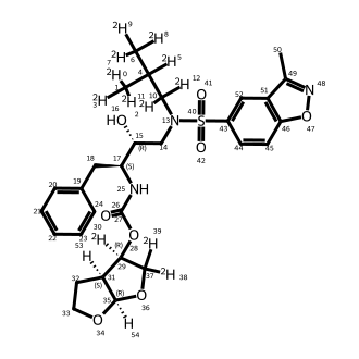 [2H]C([2H])([2H])C([2H])(C([2H])([2H])[2H])C([2H])([2H])N(C[C@@H](O)[C@H](Cc1ccccc1)NC(=O)O[C@]1([2H])[C@@H]2CCO[C@@H]2OC1([2H])[2H])S(=O)(=O)c1ccc2onc(C)c2c1